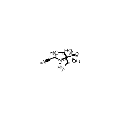 CCC(CC)(NCC#N)P(=O)(O)O